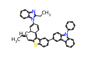 C\C=C/C=c1/sc2ccc(-c3ccc4c(c3)c3ccccc3n4-c3ccccc3)cc2/c1=C1\C=CC(n2c(CC)nc3ccccc32)=CC1C